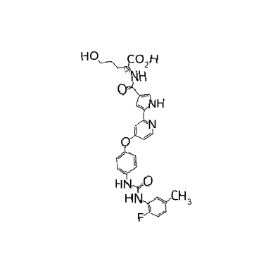 Cc1ccc(F)c(NC(=O)Nc2ccc(Oc3ccnc(-c4cc(C(=O)N[C@@H](CCCO)C(=O)O)c[nH]4)c3)cc2)c1